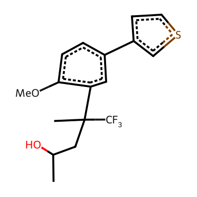 COc1ccc(-c2ccsc2)cc1C(C)(CC(C)O)C(F)(F)F